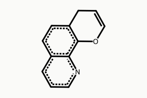 C1=COc2c(ccc3cccnc23)C1